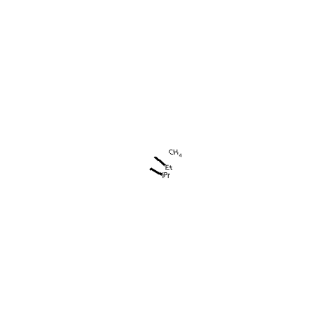 C.CC(C)C.CCC